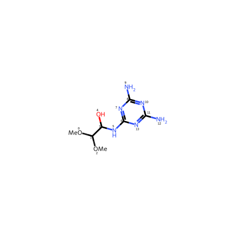 COC(OC)C(O)Nc1nc(N)nc(N)n1